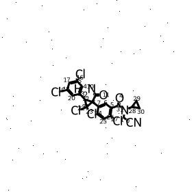 N#CCN(C(=O)c1cc(C2(C(N)=O)C(c3cc(Cl)cc(Cl)c3)C2(Cl)Cl)ccc1Cl)C1CC1